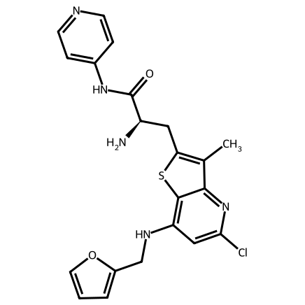 Cc1c(C[C@@H](N)C(=O)Nc2ccncc2)sc2c(NCc3ccco3)cc(Cl)nc12